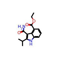 CCOC(=O)c1cccc2[nH]c(C(C)C)c(C(N)=O)c12